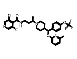 Cc1cccc(OC(c2ccc(OC(F)(F)F)cc2)C2CCN(C(C)CCNC(=O)c3c(Cl)cncc3Cl)CC2)n1